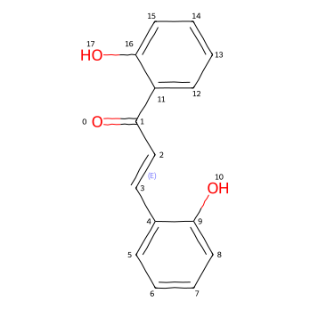 O=C(/C=C/c1ccccc1O)c1ccccc1O